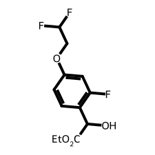 CCOC(=O)C(O)c1ccc(OCC(F)F)cc1F